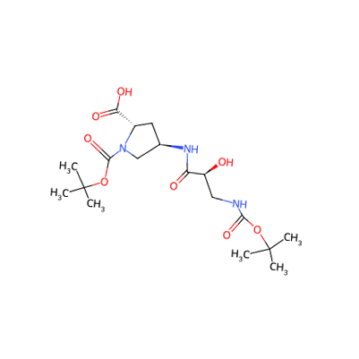 CC(C)(C)OC(=O)NC[C@H](O)C(=O)N[C@@H]1C[C@@H](C(=O)O)N(C(=O)OC(C)(C)C)C1